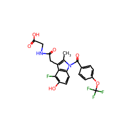 Cc1c(CC(=O)NCC(=O)O)c2c(F)c(O)ccc2n1C(=O)c1ccc(OC(F)(F)F)cc1